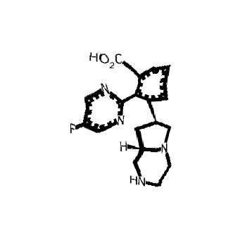 O=C(O)c1cccc([C@@H]2C[C@H]3CNCCN3C2)c1-c1ncc(F)cn1